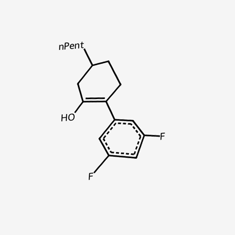 CCCCCC1CCC(c2cc(F)cc(F)c2)=C(O)C1